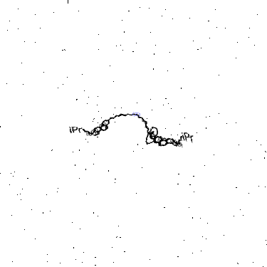 CC(C)CCC[C@@H](C)[C@H]1CCC2C3CC=C4CC(CCCCCCCC/C=C\CCCCCCCC(=O)OC5CC[C@@]6(C)C(=CCC7C6CC[C@@]6(C)C7CC[C@@H]6[C@H](C)CCCC(C)C)C5)CC[C@]4(C)C3CC[C@@]21C